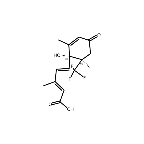 CC(C=C[C@@]1(O)C(C)=CC(=O)C[C@@]1(C)C(F)(F)F)=CC(=O)O